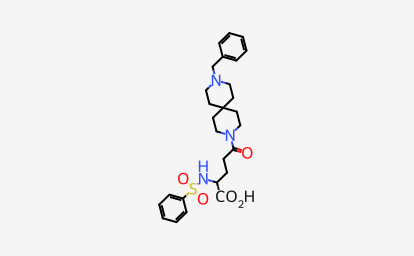 O=C(O)C(CCC(=O)N1CCC2(CCN(Cc3ccccc3)CC2)CC1)NS(=O)(=O)c1ccccc1